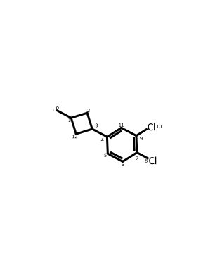 [CH2]C1CC(c2ccc(Cl)c(Cl)c2)C1